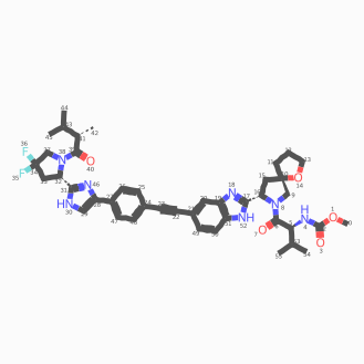 COC(=O)N[C@H](C(=O)N1C[C@]2(CCCO2)C[C@H]1c1nc2cc(C#Cc3ccc(-c4c[nH]c([C@@H]5CC(F)(F)CN5C(=O)[C@@H](C)C(C)C)n4)cc3)ccc2[nH]1)C(C)C